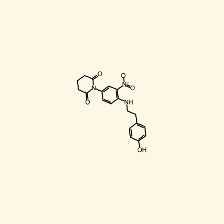 O=C1CCCC(=O)N1c1ccc(NCCc2ccc(O)cc2)c([N+](=O)[O-])c1